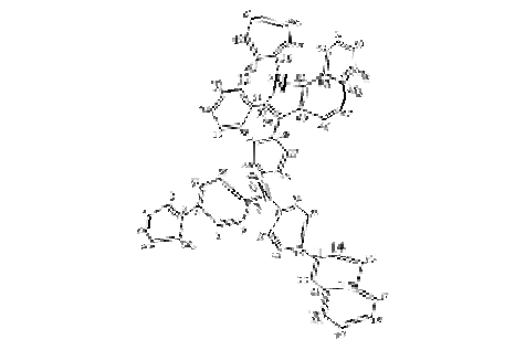 c1ccc(-c2ccc(N(c3ccc(-c4ccc5ccccc5c4)cc3)c3ccc(-c4c(-c5ccccc5)n(-c5ccccc5)c5c4ccc4ccccc45)cc3)cc2)cc1